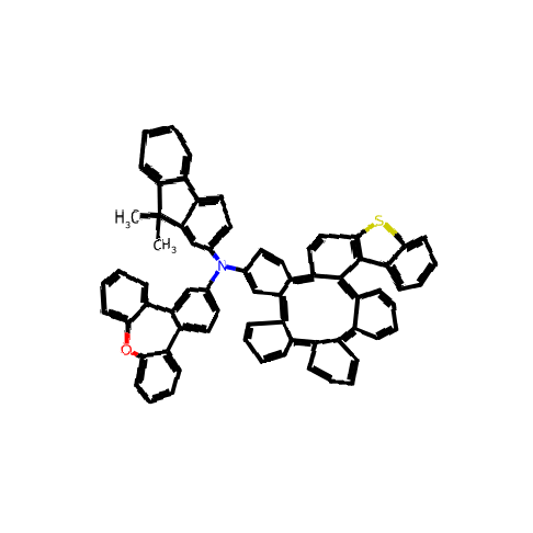 CC1(C)c2ccccc2-c2ccc(N(c3ccc4c(c3)-c3ccccc3Oc3ccccc3-4)c3ccc4c(c3)c3ccccc3c3ccccc3c3ccccc3c3c4ccc4sc5ccccc5c43)cc21